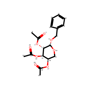 CC(=O)O[C@@H]1[C@H](OCc2ccccc2)OC[C@@H](OC(C)=O)[C@H]1OC(C)=O